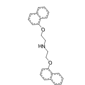 c1ccc2c(OCCNCCOc3cccc4ccccc34)cccc2c1